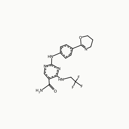 NC(=O)c1cnc(Nc2ccc(C3=NCCCO3)cc2)nc1NCC(F)(F)F